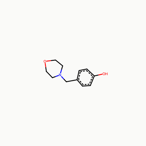 Oc1ccc(CN2CCOCC2)cc1